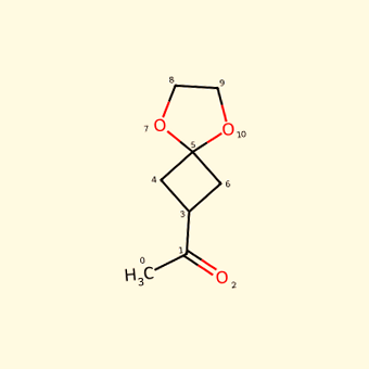 CC(=O)C1CC2(C1)OCCO2